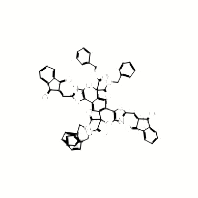 O=C1C(=Cc2nc3c(s2)-c2cc4c(cc2C(C(=O)OCc2ccccc2)(C(=O)OCc2ccccc2)O3)-c2sc(C=C3C(=O)c5ccccc5C3=O)nc2OC4(C(=O)OCc2ccccc2)C(=O)OCc2ccccc2)C(=O)c2ccccc21